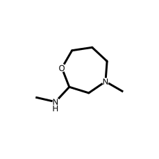 CNC1CN(C)CCCO1